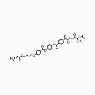 C=CC(=O)OCCCCOc1ccc(C(=O)Oc2ccc(OC(=O)c3ccc(NC(=O)OCC(=O)C(=C)C)cc3)cc2)cc1